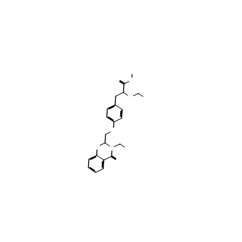 CCOC(Cc1ccc(OCC2Nc3ccccc3C(=O)N2CC)cc1)C(=O)OC